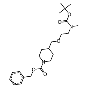 CN(CCOCC1CCN(C(=O)OCc2ccccc2)CC1)C(=O)OC(C)(C)C